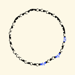 c1cccccccccccnccnccnccccccccccc1